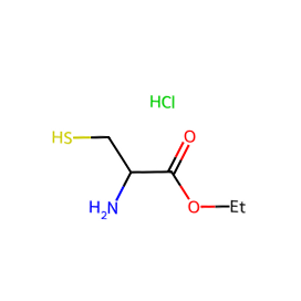 CCOC(=O)C(N)CS.Cl